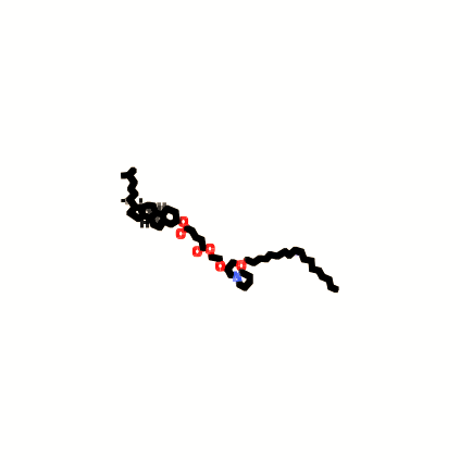 CCCCCCCC/C=C\CCCCCCCCOCC(CN1CCCCC1)OCCOC(=O)CCCC(=O)O[C@H]1CC[C@@]2(C)C(=CC[C@@H]3[C@@H]2CC[C@]2(C)C([C@H](C)CCCC(C)C)CC[C@@H]32)C1